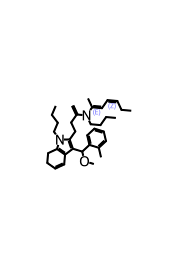 C=C(CCc1c(C(OC)c2ccccc2C)c2c(n1CCCC)CCC=C2)N(CCCC)/C(C)=C/C=C\CC